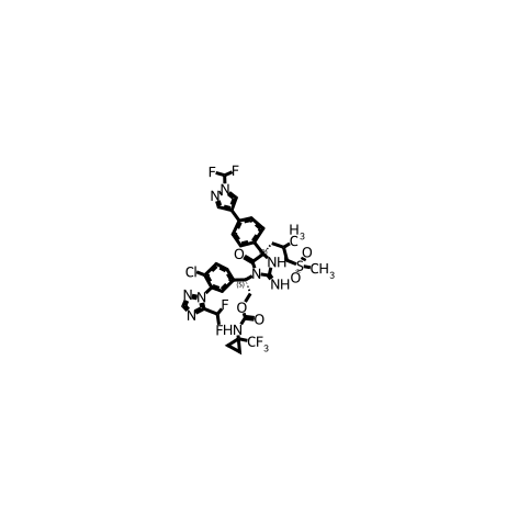 CC(C[C@]1(c2ccc(-c3cnn(C(F)F)c3)cc2)NC(=N)N([C@H](COC(=O)NC2(C(F)(F)F)CC2)c2ccc(Cl)c(-n3ncnc3C(F)F)c2)C1=O)CS(C)(=O)=O